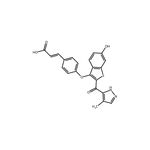 Cc1cn[nH]c1C(=O)c1sc2cc(O)ccc2c1Oc1ccc(/C=C/C(=O)O)cc1